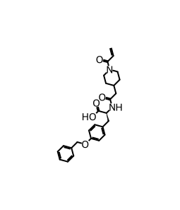 C=CC(=O)N1CCC(CC(=O)N[C@@H](Cc2ccc(OCc3ccccc3)cc2)C(=O)O)CC1